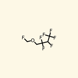 FCOCC(F)(F)C(F)C(F)(F)F